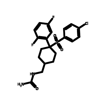 NC(=O)NCC1CCC(c2cc(F)ccc2F)(S(=O)(=O)c2ccc(Cl)cc2)CC1